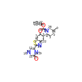 C[C@H]1CC=C(c2ccc3sc(C4CN(C)CC(=O)N4C)nc3c2)N(C(=O)OC(C)(C)C)C1